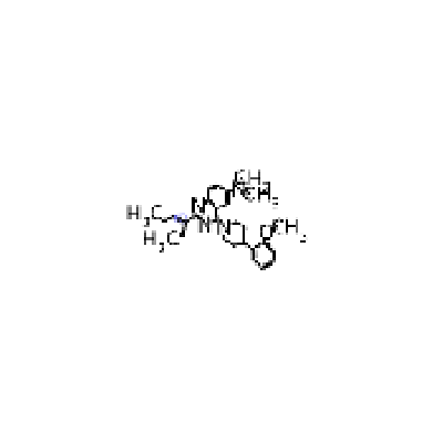 C=C/C=C(\C=C)c1nc(N2CCC(c3ccccc3OC)CC2)c2cc(N(C)C)ccc2n1